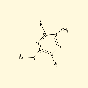 Cc1cc(Br)c(CBr)cc1F